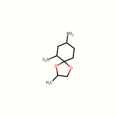 CC1COC2(CCC([N+](=O)[O-])CC2[N+](=O)[O-])O1